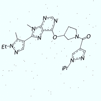 CCn1ncc(-c2nc3c(OC4CCN(C(=O)c5cnn(C(C)C)c5)C4)ncnc3n2C)c1C